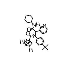 CC(C)(C)c1ccc(N(C(=O)C2=C3C4C(N2)[C@@H]34)C(C(=O)NC2CCCCC2)c2cccnc2)cc1